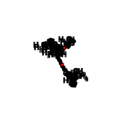 Cc1ncsc1-c1ccc(CNC(=O)[C@@H]2C[C@@H](OC(=O)[C@@H]3CCCN3C(=O)OC(C)(C)C)CN2C(=O)[C@@H](NC(O)CCCCCCCCCCOc2cc(F)c([C@@H]3c4[nH]c5ccccc5c4C[C@@H](C)N3CC(C)(C)F)c(F)c2)C(C)(C)C)cc1